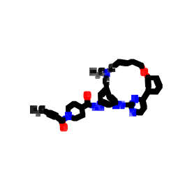 CC#CC(=O)N1CCC(C(=O)Nc2cc3cc(c2)Nc2nccc(n2)-c2cccc(c2)OCC/C=C/CN(C)C3)CC1